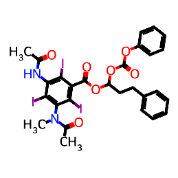 CC(=O)Nc1c(I)c(C(=O)OC(CCc2ccccc2)OC(=O)Oc2ccccc2)c(I)c(N(C)C(C)=O)c1I